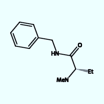 CC[C@H](NC)C(=O)NCc1ccccc1